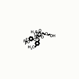 CCc1ccc(Cn2c(Oc3cccc(OC(F)(F)F)c3)nc3c2c(=O)n(CCOCCO)c(=O)n3C)cc1